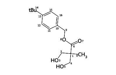 CC(CO)(CO)C(=O)OCc1ccc(C(C)(C)C)cc1